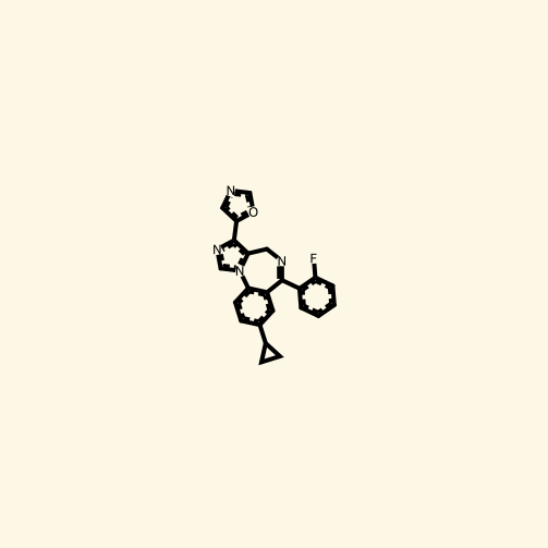 Fc1ccccc1C1=NCc2c(-c3cnco3)ncn2-c2ccc(C3CC3)cc21